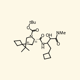 CNC(=O)C(O)C(CC1CCC1)NC(=O)[C@@H]1C[C@@]2(CN1C(=O)OC(C)(C)C)C(C)(C)C21CCC1